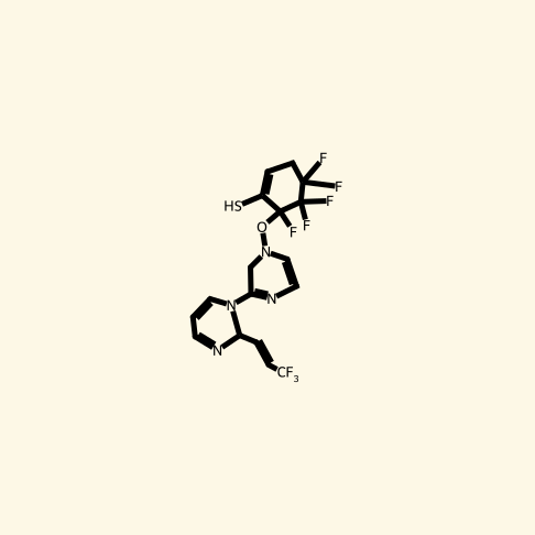 FC(F)(F)C=CC1N=CC=CN1C1=NC=CN(OC2(F)C(S)=CCC(F)(F)C2(F)F)C1